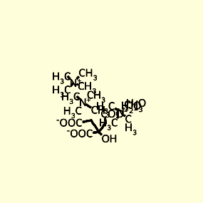 C[N+](C)(C)C.C[N+](C)(C)C.C[N+](C)(C)C.O.O.O=C([O-])CC(O)(CC(=O)[O-])C(=O)[O-]